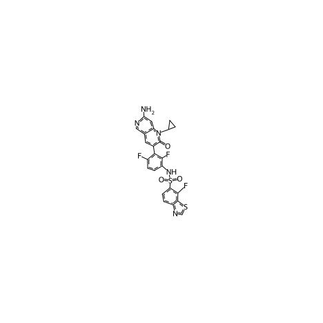 Nc1cc2c(cn1)cc(-c1c(F)ccc(NS(=O)(=O)c3ccc4ncsc4c3F)c1F)c(=O)n2C1CC1